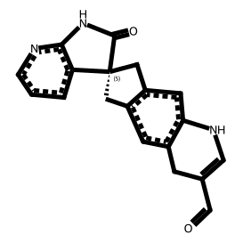 O=CC1=CNc2cc3c(cc2C1)C[C@@]1(C3)C(=O)Nc2ncccc21